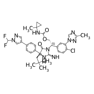 Cc1ncn(-c2cc([C@@H](COC(=O)NC3(C)CC3)N3C(=N)N[C@](CC(C)(C)C)(c4ccc(-c5cnn(C(F)F)c5)cc4)C3=O)ccc2Cl)n1